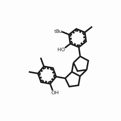 Cc1cc(C2CC3CC2C2C(c4cc(C)c(C)cc4O)CCC32)c(O)c(C(C)(C)C)c1